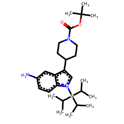 CC(C)[Si](C(C)C)(C(C)C)n1cc(C2CCN(C(=O)OC(C)(C)C)CC2)c2cc(N)ccc21